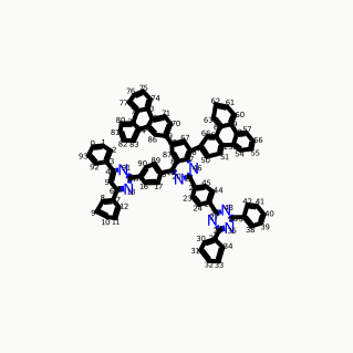 c1ccc(-c2cc(-c3ccccc3)nc(-c3ccc(-c4nc(-c5ccc(-c6nc(-c7ccccc7)nc(-c7ccccc7)n6)cc5)nc5c(-c6ccc7c8ccccc8c8ccccc8c7c6)cc(-c6ccc7c8ccccc8c8ccccc8c7c6)cc45)cc3)n2)cc1